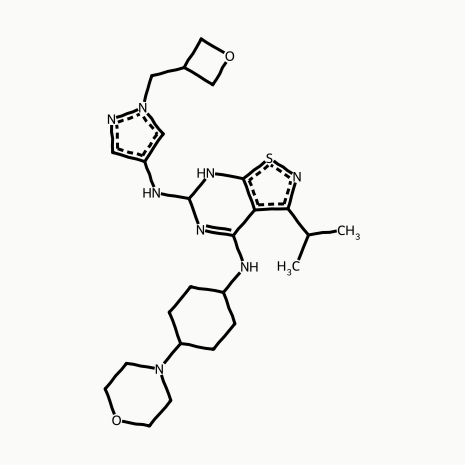 CC(C)c1nsc2c1C(NC1CCC(N3CCOCC3)CC1)=NC(Nc1cnn(CC3COC3)c1)N2